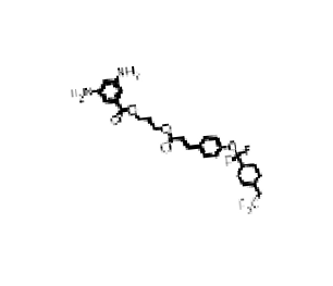 Nc1cc(N)cc(C(=O)OCCCOC(=O)C=Cc2ccc(OC(F)(F)C3CCC(CC(F)(F)F)CC3)cc2)c1